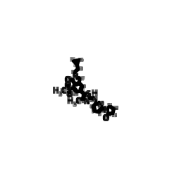 Cc1nc(Nc2cccc(N3CCCC3=O)n2)sc1-c1cc2c(c(S(C)(=O)=O)c1)C(=O)N(CCC1CC1)C2